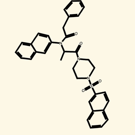 CC(C(=O)N1CCN(S(=O)(=O)c2ccc3ccccc3c2)CC1)N(C(=O)Cc1ccccc1)c1ccc2ccccc2c1